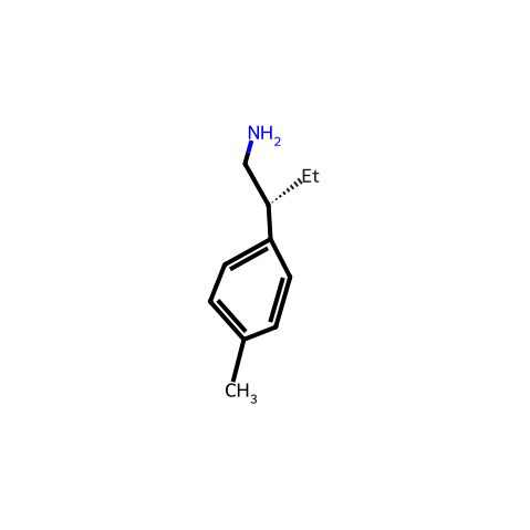 CC[C@@H](CN)c1ccc(C)cc1